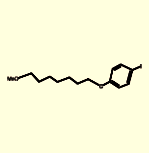 COCCCCCCCOc1ccc(I)cc1